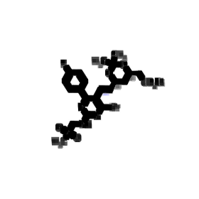 CCOC(=O)C[C@H]1C[C@@H](/C=C/c2c(-c3ccc(F)cc3)nc(NCS(C)(=O)=O)nc2C(C)C)OC(C)(C)O1